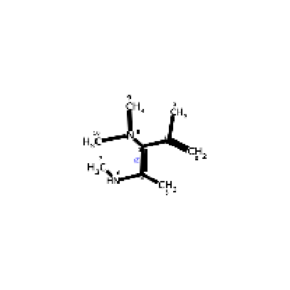 C=C(C)/C(=C(\C)NC)N(C)C